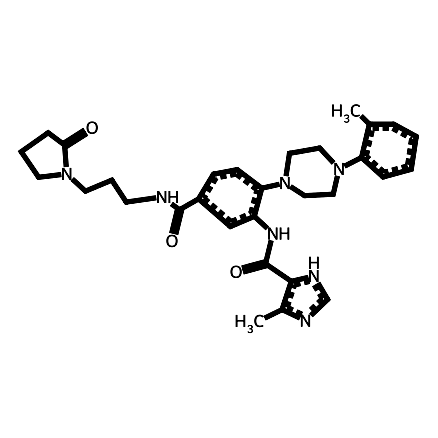 Cc1ccccc1N1CCN(c2ccc(C(=O)NCCCN3CCCC3=O)cc2NC(=O)c2[nH]cnc2C)CC1